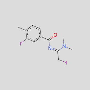 Cc1ccc(C(=O)N=C(CI)N(C)C)cc1I